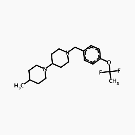 CC1CCN(C2CCN(Cc3ccc(OC(C)(F)F)cc3)CC2)CC1